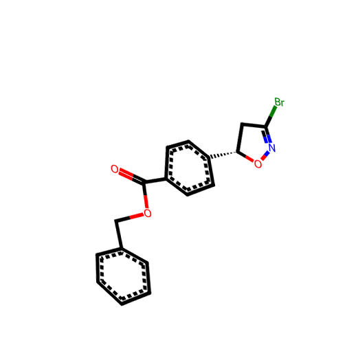 O=C(OCc1ccccc1)c1ccc([C@@H]2CC(Br)=NO2)cc1